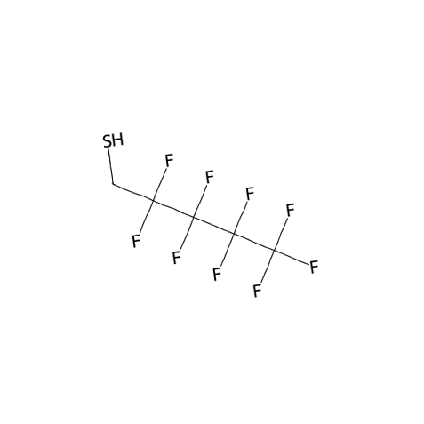 FC(F)(F)C(F)(F)C(F)(F)C(F)(F)CS